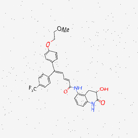 COCCOc1ccc(/C(=C/C=C/C(=O)Nc2cccc3c2CC(O)C(=O)N3)c2ccc(C(F)(F)F)cc2)cc1